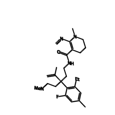 C=NC1=C(C(=O)NCCC(CCNC)(C(=C)C)c2c(F)cc(C)cc2CC)CCCN1C